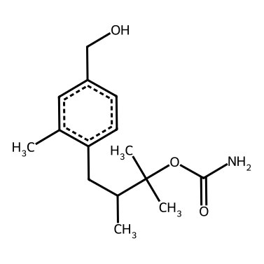 Cc1cc(CO)ccc1CC(C)C(C)(C)OC(N)=O